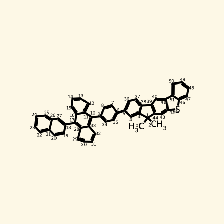 CC1(C)c2cc(-c3ccc(-c4c5ccccc5c(-c5ccc6ccccc6c5)c5ccccc45)cc3)ccc2-c2cc3c(cc21)sc1ccccc13